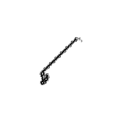 COCCOCCOCCOCCOCCOCCOCCOCCOCCOCCOCCOCCN1CCN(CCCN2c3ccccc3Sc3ccc(C(F)(F)F)cc32)CC1